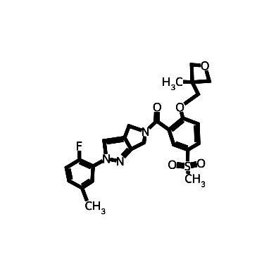 Cc1ccc(F)c(-n2cc3c(n2)CN(C(=O)c2cc(S(C)(=O)=O)ccc2OCC2(C)COC2)C3)c1